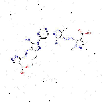 CCCc1nn(-c2cc(-n3nc(C)c(/N=N/c4c(C(=O)O)cnn4C)c3N)ncn2)c(N)c1/N=N/c1c(C(=O)O)cnn1C